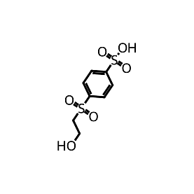 O=S(=O)(O)c1ccc(S(=O)(=O)CCO)cc1